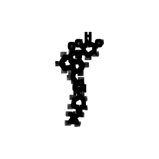 CC1(CN2CCC(n3cc(Cc4ccc5c6c(cccc46)C(=O)N5C4CCC(=O)NC4=O)cn3)CC2)CC1